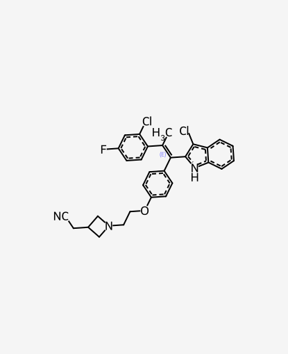 C/C(=C(/c1ccc(OCCN2CC(CC#N)C2)cc1)c1[nH]c2ccccc2c1Cl)c1ccc(F)cc1Cl